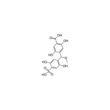 COC(c1cc(O)c(C(=O)O)cc1O)c1cc(O)c(S(=O)(=O)O)cc1O